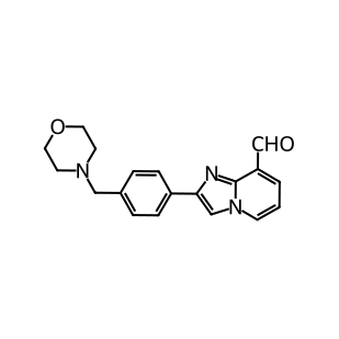 O=Cc1cccn2cc(-c3ccc(CN4CCOCC4)cc3)nc12